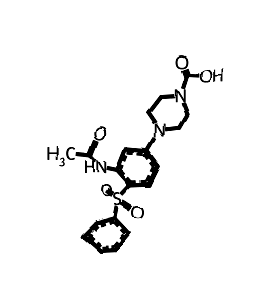 CC(=O)Nc1cc(N2CCN(C(=O)O)CC2)ccc1S(=O)(=O)c1ccccc1